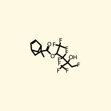 CC1(C(=O)OC(C(F)(F)F)C(F)(F)C(O)(CF)C(F)(F)F)CC2C=CC1C2